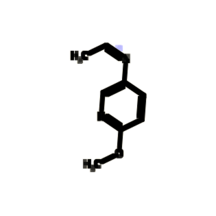 C/C=N\c1ccc(OC)nc1